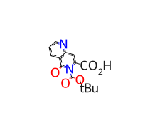 CC(C)(C)OC(=O)n1c(C(=O)O)cc2ncccc2c1=O